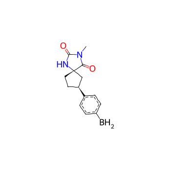 Bc1ccc([C@H]2CC[C@@]3(C2)NC(=O)N(C)C3=O)cc1